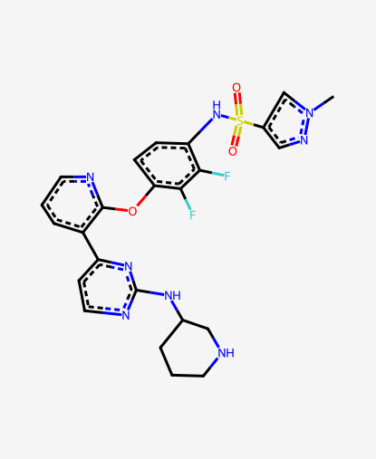 Cn1cc(S(=O)(=O)Nc2ccc(Oc3ncccc3-c3ccnc(NC4CCCNC4)n3)c(F)c2F)cn1